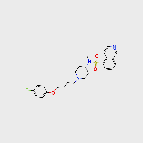 CN(C1CCN(CCCCOc2ccc(F)cc2)CC1)S(=O)(=O)c1cccc2cnccc12